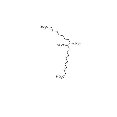 CCCCCCCCCC(CCCCCCCC(=O)O)C(CCCCCCCC)CCCCCCCCCC(=O)O